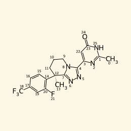 Cc1nc(-c2nnc3n2CCC[C@]3(C)c2ccc(C(F)(F)F)cc2F)cc(=O)[nH]1